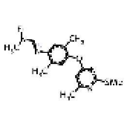 CCN(C)/C=N/c1cc(C)c(Oc2cc(C)nc(SC)n2)cc1C